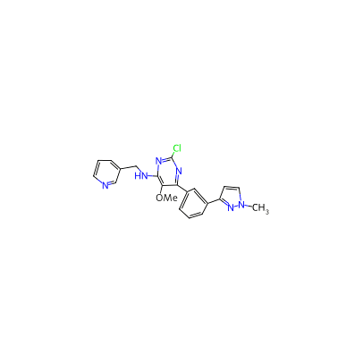 COc1c(NCc2cccnc2)nc(Cl)nc1-c1cccc(-c2ccn(C)n2)c1